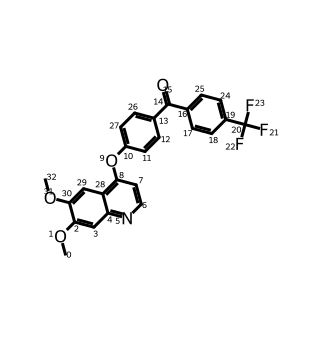 COc1cc2nccc(Oc3ccc(C(=O)c4ccc(C(F)(F)F)cc4)cc3)c2cc1OC